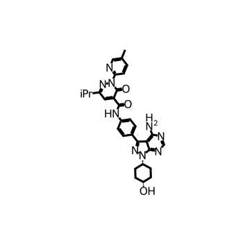 Cc1ccc(-n2nc(C(C)C)cc(C(=O)Nc3ccc(-c4nn([C@H]5CC[C@@H](O)CC5)c5ncnc(N)c45)cc3)c2=O)nc1